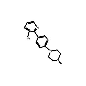 CC(C)c1cccnc1-c1ccc(N2CCN(C)CC2)nc1